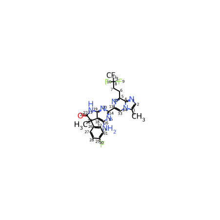 Cc1cnc2c(CCC(F)(F)C(F)(F)F)nc(-c3nc(N)c4c(n3)NC(=O)C4(C)c3ccc(F)cc3)cn12